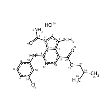 Cc1cn(C(N)=O)c2c(Nc3cccc(Cl)c3)ncc(C(=O)OCC(C)C)c12.Cl